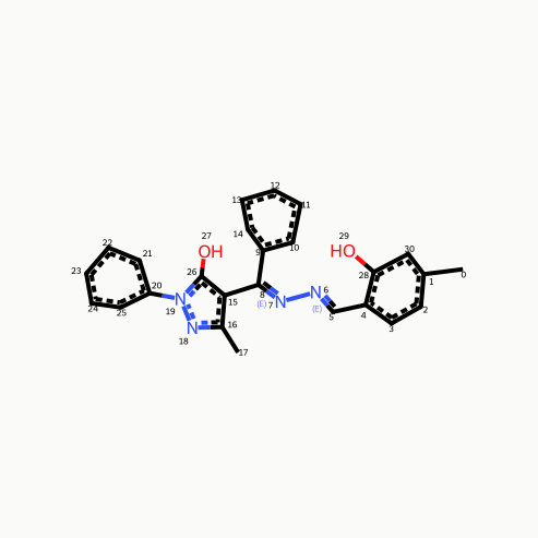 Cc1ccc(/C=N/N=C(\c2ccccc2)c2c(C)nn(-c3ccccc3)c2O)c(O)c1